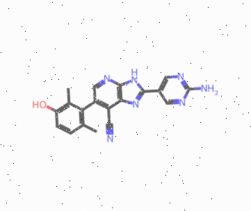 Cc1ccc(O)c(C)c1-c1cnc2[nH]c(-c3cnc(N)nc3)nc2c1C#N